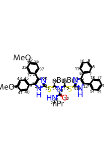 CCCCC(Sc1nc(-c2ccccc2)c(-c2ccccc2)[nH]1)N(C(=O)NCCC)C(CCCC)Sc1nc(-c2ccc(OC)cc2)c(-c2ccc(OC)cc2)[nH]1